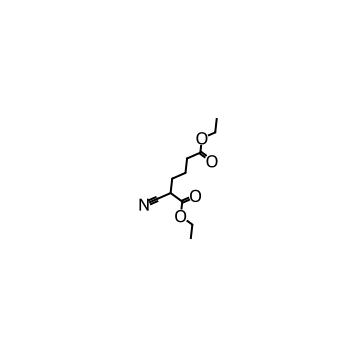 CCOC(=O)CCCC(C#N)C(=O)OCC